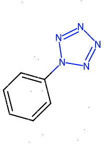 c1ccc(-n2nnnn2)cc1